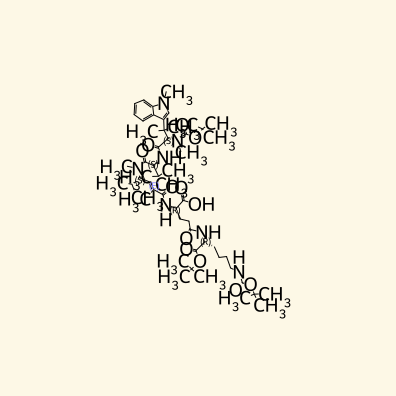 C/C(=C\[C@H](C(C)C)N(C)C(=O)[C@@H](NC(=O)[C@@H](N(C)C(=O)OC(C)(C)C)C(C)(C)c1cn(C)c2ccccc12)C(C)(C)C)C(=O)N[C@H](CCC(=O)N[C@H](CCCCNC(=O)OC(C)(C)C)C(=O)OC(C)(C)C)C(=O)O